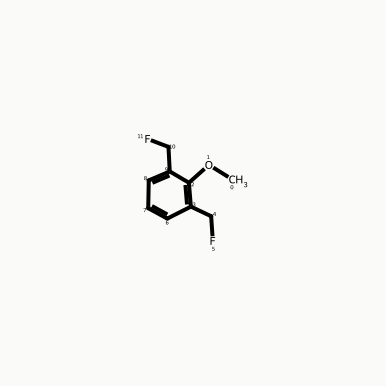 COc1c(CF)cccc1CF